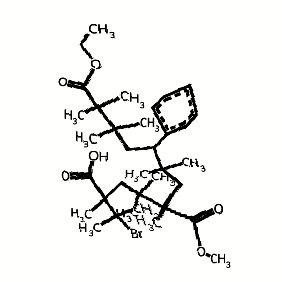 CCOC(=O)C(C)(C)C(C)(C)CC(c1ccccc1)C(C)(C)CC(C)(C(=O)OC)C(C)(C)CC(C)(C(=O)O)C(C)(C)Br